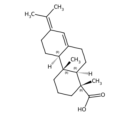 CC(C)=C1C=C2CC[C@@H]3[C@](C)(CCC[C@@]3(C)C(=O)O)[C@H]2CC1